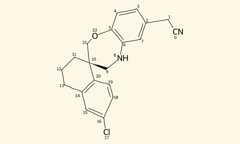 N#CCc1ccc2c(c1)NC[C@@]1(CCCc3cc(Cl)ccc31)CO2